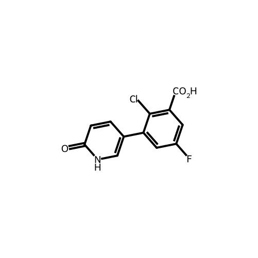 O=C(O)c1cc(F)cc(-c2ccc(=O)[nH]c2)c1Cl